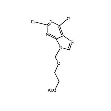 CC(=O)OCCOCn1cnc2c(Cl)nc(Cl)nc21